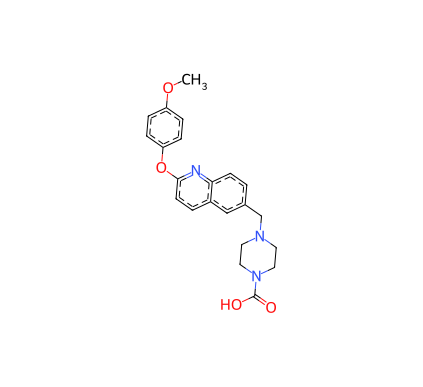 COc1ccc(Oc2ccc3cc(CN4CCN(C(=O)O)CC4)ccc3n2)cc1